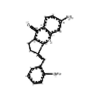 COc1ccccc1C=C1CCc2c1oc1cc(N)ccc1c2=O